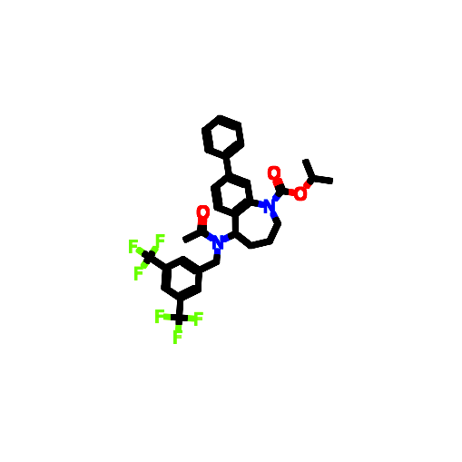 CC(=O)N(Cc1cc(C(F)(F)F)cc(C(F)(F)F)c1)C1CCCN(C(=O)OC(C)C)c2cc(-c3ccccc3)ccc21